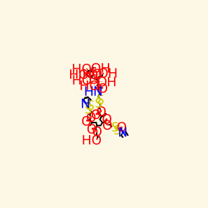 CCC(CC(CC(CC(C)C(=O)OCCSSc1ccccn1)C(=O)OCCO)C(=O)OCCSSC(=O)N(CC)CC)C(=O)OCCSSCCNC(=O)[C@H](O)[C@@H](O)C(O[C@@H]1O[C@H](CO)[C@H](O)[C@H](O)[C@H]1O)[C@H](O)CO